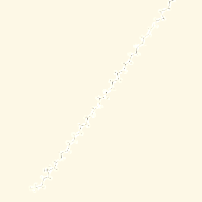 CCCCCCCCCCCCCCCCCCCCCCCCCCCCCCCCCCCCCCCCNCCCN